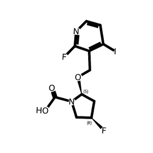 O=C(O)N1C[C@H](F)C[C@@H]1OCc1c(I)ccnc1F